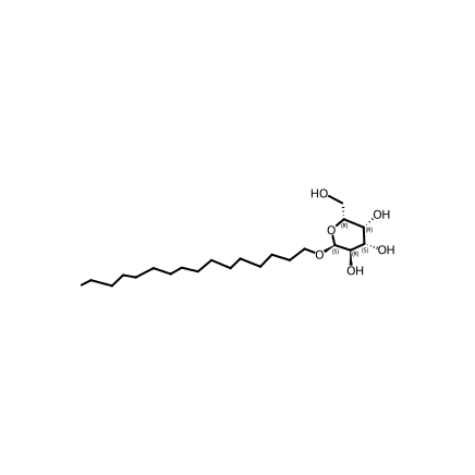 CCCCCCCCCCCCCCCCO[C@H]1O[C@H](CO)[C@H](O)[C@H](O)[C@H]1O